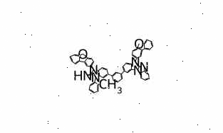 Cc1ccccc1-n1c(=N)n(-c2ccc3oc4ccccc4c3c2)c2ccc(-c3cccc(-c4ccc5c(c4)n4c6ccccc6nc4n5-c4ccc5oc6ccccc6c5c4)c3)cc21